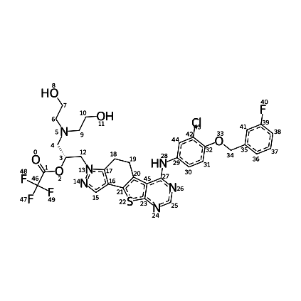 O=C(O[C@H](CN(CCO)CCO)Cn1ncc2c1CCc1c-2sc2ncnc(Nc3ccc(OCc4cccc(F)c4)c(Cl)c3)c12)C(F)(F)F